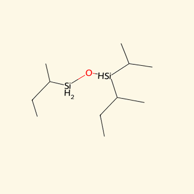 CCC(C)[SiH2]O[SiH](C(C)C)C(C)CC